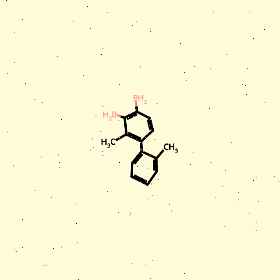 Bc1ccc(-c2ccccc2C)c(C)c1B